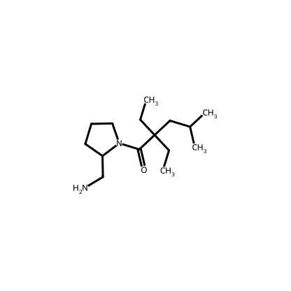 CCC(CC)(CC(C)C)C(=O)N1CCCC1CN